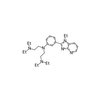 CCN(CC)CCN(CCN(CC)CC)c1cccc(-c2nc3ncccc3n2CC)c1